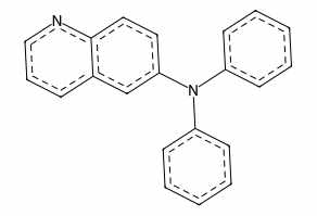 c1ccc(N(c2ccccc2)c2ccc3ncccc3c2)cc1